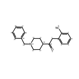 N#Cc1ccccc1CC(=O)C1CCN(Cc2ccccc2)CC1